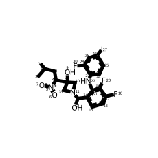 CC(C)CC([N+](=O)[O-])C1(O)CN(C(O)c2ccc(F)c(F)c2Nc2ccc(I)cc2F)C1